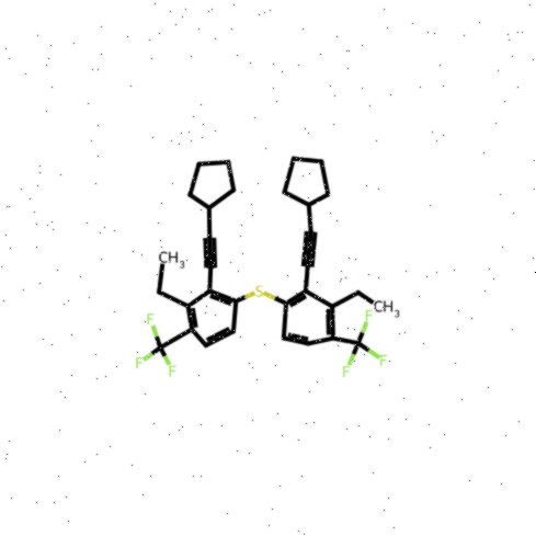 CCc1c(C(F)(F)F)ccc(Sc2ccc(C(F)(F)F)c(CC)c2C#CC2CCCC2)c1C#CC1CCCC1